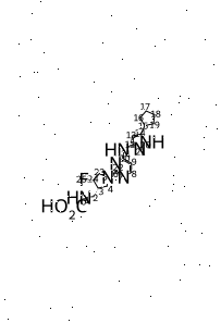 O=C(O)NC[C@H]1CN(c2nccc(Nc3cc(C4CCCC4)[nH]n3)n2)C[C@H]1F